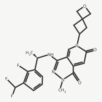 C[C@@H](Nc1nn(C)c(=O)c2cc(=O)n(C3CC4(COC4)C3)cc12)c1cccc(C(F)F)c1F